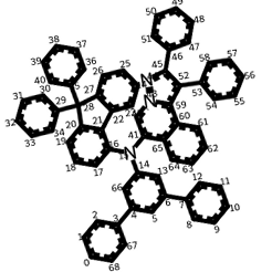 c1ccc(-c2cc(-c3ccccc3)cc(N(c3cccc4c3-c3ccccc3C4(c3ccccc3)c3ccccc3)c3cn4nc(-c5ccccc5)c(-c5ccccc5)c4c4ccccc34)c2)cc1